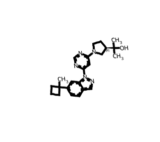 CC1(c2ccc3cnn(-c4cc(N5CC[C@@H](C(C)(C)O)C5)ncn4)c3c2)CCC1